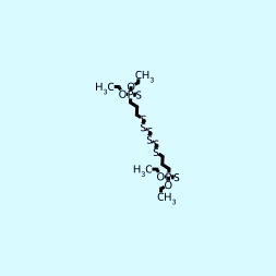 CCOP(=S)(CCCSSSSSSCCCP(=S)(OCC)OCC)OCC